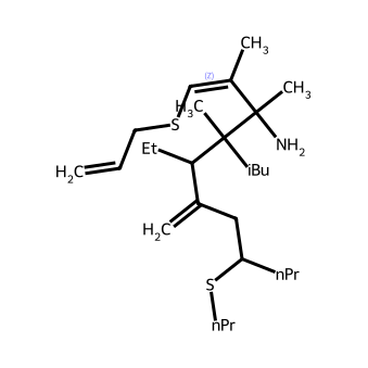 C=CCS/C=C(/C)C(C)(N)C(C)(C(C)CC)C(CC)C(=C)CC(CCC)SCCC